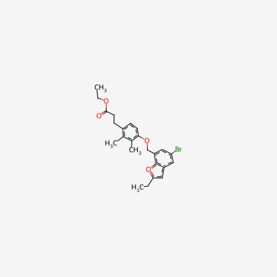 CCOC(=O)CCc1ccc(OCc2cc(Br)cc3cc(CC)oc23)c(C)c1C